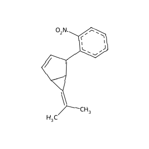 CC(C)=C1C2C=CC(c3ccccc3[N+](=O)[O-])C12